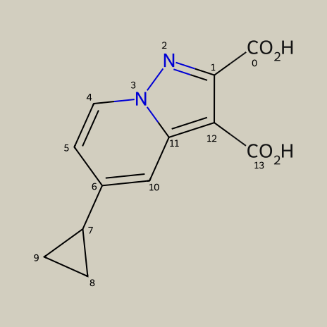 O=C(O)c1nn2ccc(C3CC3)cc2c1C(=O)O